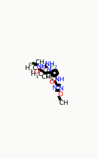 C#CCOc1cnc(C(=O)Nc2ccc(F)c([C@@]3(C)N=C(N)S[C@](C)(C(=O)NC(C)(C)CF)C3C)c2)cn1